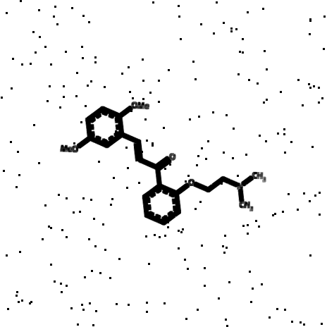 COc1ccc(OC)c(C=CC(=O)c2ccccc2OCCN(C)C)c1